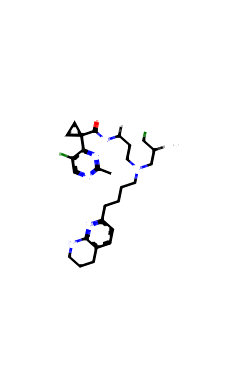 COC(CF)CN(CCCCc1ccc2c(n1)NCCC2)CCC(NC(=O)C1(c2nc(C)ncc2Cl)CC1)C(=O)O